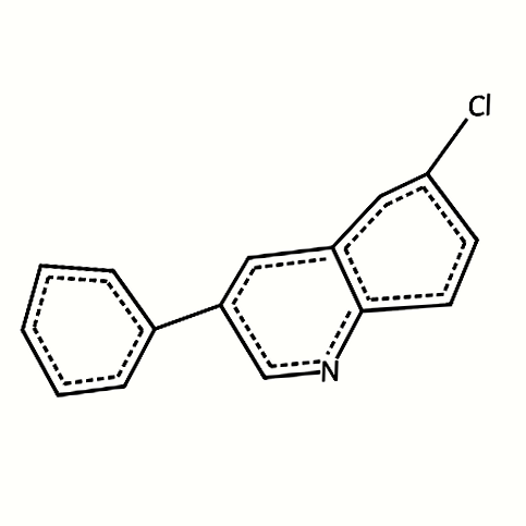 Clc1ccc2ncc(-c3ccccc3)cc2c1